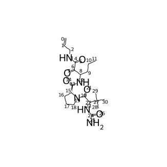 C=CCNC(=O)C(=O)C(CCC)NC(=O)[C@@H]1CCCN1C(=O)[C@@H](NC(N)=O)C(C)(C)C